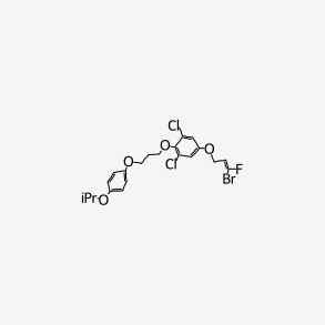 CC(C)Oc1ccc(OCCCOc2c(Cl)cc(OCC=C(F)Br)cc2Cl)cc1